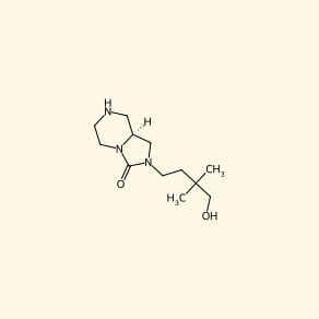 CC(C)(CO)CCN1C[C@@H]2CNCCN2C1=O